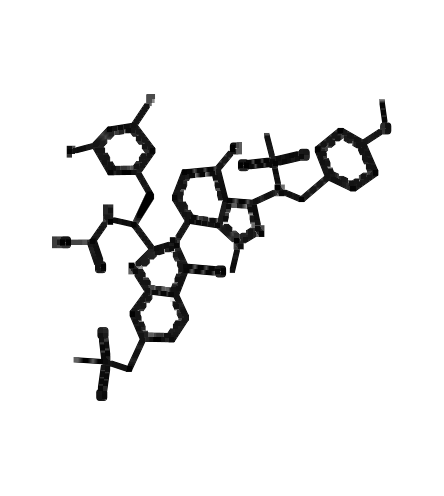 COc1ccc(CN(c2nn(C)c3c(-n4c([C@H](Cc5cc(F)cc(F)c5)NC(=O)O)nc5cc(CS(C)(=O)=O)ccc5c4=O)ccc(Cl)c23)S(C)(=O)=O)cc1